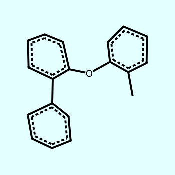 Cc1ccccc1Oc1ccccc1-c1ccccc1